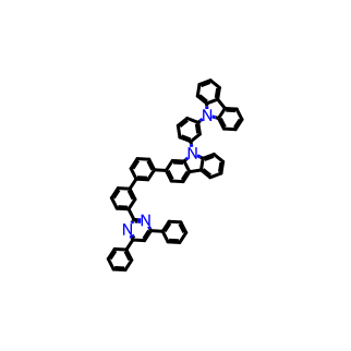 c1ccc(-c2cc(-c3ccccc3)nc(-c3cccc(-c4cccc(-c5ccc6c7ccccc7n(-c7cccc(-n8c9ccccc9c9ccccc98)c7)c6c5)c4)c3)n2)cc1